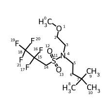 COCCN(CCC(C)(C)C)S(=O)(=O)CC(F)(F)C(F)(F)F